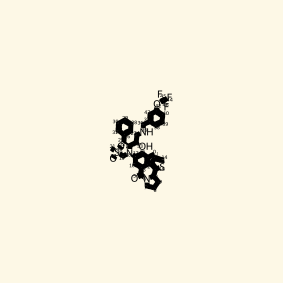 [CH]c1cc(C(=O)N2CCCC2c2cccs2)cc(N(CS(C)(=O)=O)[C@@H](Cc2ccccc2)[C@H](O)CNCc2cccc(OC(F)(F)F)c2)c1